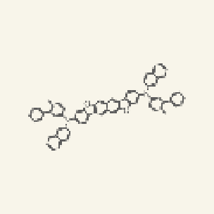 Cc1ccc(N(c2ccc3ccccc3c2)c2ccc3c(c2)oc2cc4cc5c(cc4cc23)oc2cc(N(c3ccc(C)c(-c4ccccc4)c3)c3ccc4ccccc4c3)ccc25)cc1-c1ccccc1